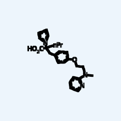 CCCC(Cc1ccc(OCCN(C)c2ccccn2)cc1)(C(=O)O)n1cccc1